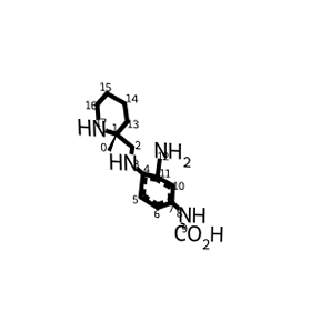 C[C@]1(CNc2ccc(NC(=O)O)cc2N)CCCCN1